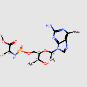 CNc1nc(N)nc2c1ncn2[C@@H](C)O[C@H](CO[PH](=O)N[C@@H](C)C(=O)OC(C)C)[C@H](C)O